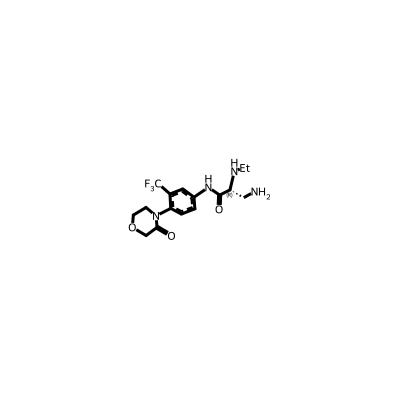 CCN[C@H](CN)C(=O)Nc1ccc(N2CCOCC2=O)c(C(F)(F)F)c1